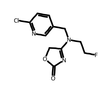 O=C1N=C(N(CCF)Cc2ccc(Cl)nc2)CO1